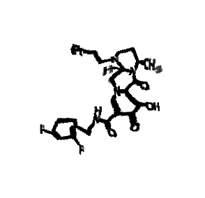 CC(C)CCN1CC[C@@H](C)N2C(=O)c3c(O)c(=O)c(C(=O)NCc4ccc(F)cc4F)cn3C[C@H]12